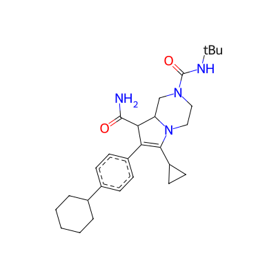 CC(C)(C)NC(=O)N1CCN2C(C3CC3)=C(c3ccc(C4CCCCC4)cc3)C(C(N)=O)C2C1